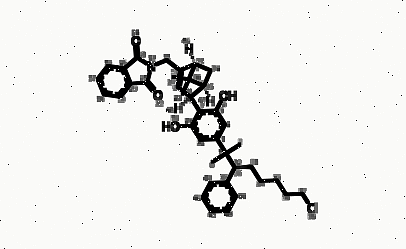 CC(C)(c1cc(O)c([C@H]2C=C(CN3C(=O)c4ccccc4C3=O)[C@H]3C[C@@H]2C3(C)C)c(O)c1)[C@@H](CCCCCCl)c1ccccc1